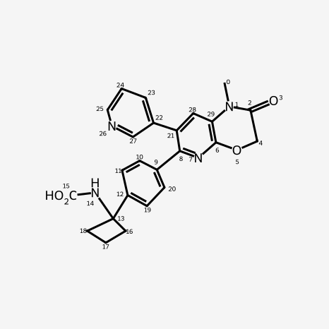 CN1C(=O)COc2nc(-c3ccc(C4(NC(=O)O)CCC4)cc3)c(-c3cccnc3)cc21